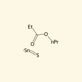 [CH2]CC(=O)OCCC.[S]=[Sn]